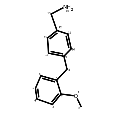 COc1c[c]ccc1Cc1ccc(CN)cc1